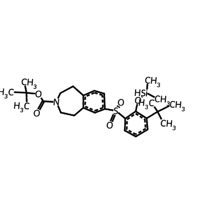 C[SiH](C)Oc1c(C(C)(C)C)cccc1S(=O)(=O)c1ccc2c(c1)CCN(C(=O)OC(C)(C)C)CC2